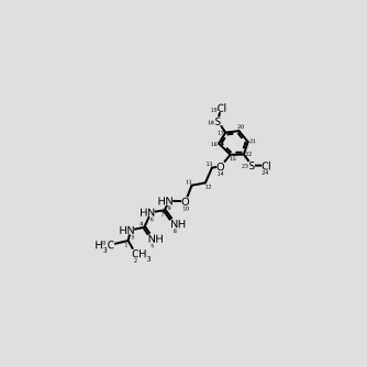 CC(C)NC(=N)NC(=N)NOCCCOc1cc(SCl)ccc1SCl